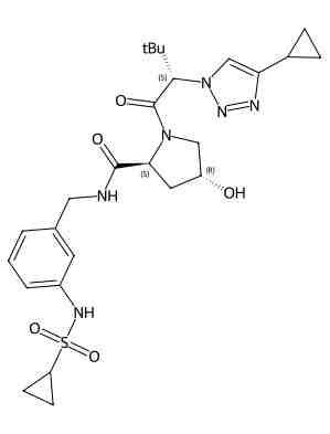 CC(C)(C)[C@@H](C(=O)N1C[C@H](O)C[C@H]1C(=O)NCc1cccc(NS(=O)(=O)C2CC2)c1)n1cc(C2CC2)nn1